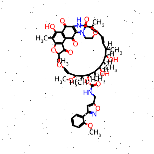 COc1ccccc1-c1cc(CNC(=O)O[C@H]2[C@H](C)[C@H](O)[C@H](C)[C@@H](O)[C@@H](C)/C=C/C=C(/C)C(=O)NC3=C(N4CCOCC4)C(=O)c4c(c(O)c(C)c5c4C(=O)[C@@](C)(O/C=C/[C@H](OC)[C@H]2C)O5)C3=O)on1